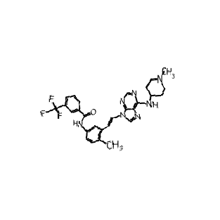 Cc1ccc(NC(=O)c2cccc(C(F)(F)F)c2)cc1/C=C/n1cnc2c(NC3CCN(C)CC3)ncnc21